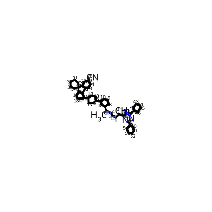 C=C(/C=C\C=C(/C)c1cccc(C2=CC=C(c3cccc4c3-c3ccc(C#N)cc3C43CCCCC3)CC2)c1)c1nc(-c2ccccc2)nc(-c2ccccc2)n1